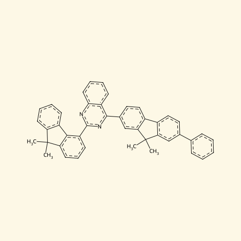 CC1(C)c2cc(-c3ccccc3)ccc2-c2ccc(-c3nc(-c4cccc5c4-c4ccccc4C5(C)C)nc4ccccc34)cc21